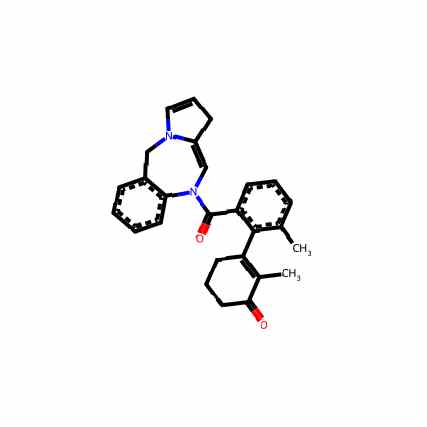 CC1=C(c2c(C)cccc2C(=O)N2C=C3CC=CN3Cc3ccccc32)CCCC1=O